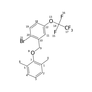 Cc1cccc(C)c1OCc1cc(OC(F)(F)C(F)(F)F)ccc1Br